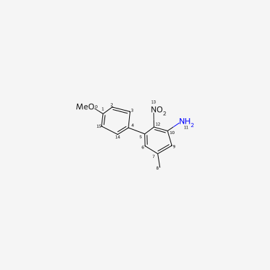 COc1ccc(-c2cc(C)cc(N)c2[N+](=O)[O-])cc1